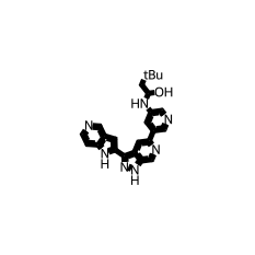 CC(C)(C)CC(O)Nc1cncc(-c2cc3c(-c4cc5cnccc5[nH]4)n[nH]c3cn2)c1